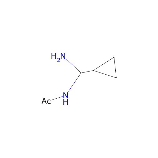 CC(=O)NC(N)C1CC1